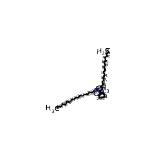 CCCCCCCCC=CCCCCCCCCC(c1ccccc1)[N+](C)(C)CCCCCCCCC=CCCCCCCCC